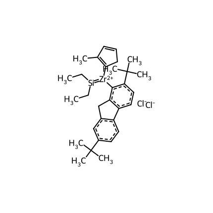 CC[Si](CC)=[Zr+2]([C]1=C(C)C=CC1)[c]1c(C(C)(C)C)ccc2c1Cc1cc(C(C)(C)C)ccc1-2.[Cl-].[Cl-]